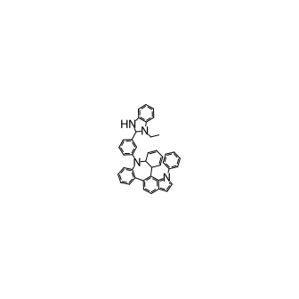 CCN1c2ccccc2NC1c1cccc(N2c3ccccc3-c3ccc4ccn(-c5ccccc5)c4c3C3C=CC=CC32)c1